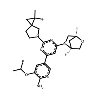 CC(F)Oc1cc(-c2cc(N3C[C@@H]4C[C@H]3CO4)nc(N3CCC4(C3)CC4(C)F)n2)cnc1N